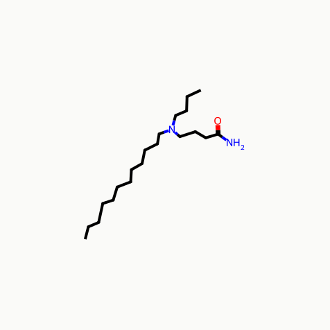 CCCCCCCCCCCCN(CCCC)CCCC(N)=O